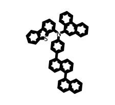 c1ccc2c(-c3cccc4c(-c5ccc(N(c6cc7ccccc7c7ccccc67)c6cccc7c6sc6ccccc67)cc5)cccc34)cccc2c1